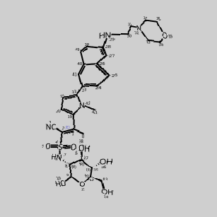 C/C(=C(/C#N)S(=O)(=O)N[C@H]1C(O)O[C@H](CO)[C@@H](O)[C@@H]1O)c1ccc(-c2ccc3cc(NCCN4CCOCC4)ccc3c2)n1C